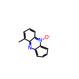 Cc1cccc2c1nc1ccccc1[n+]2[O-]